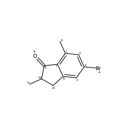 Cc1cc(Br)cc2c1C(=O)C(C)C2